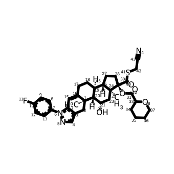 C[C@]12Cc3cnn(-c4ccc(F)cc4)c3C=C1CC[C@@H]1[C@@H]2[C@@H](O)C[C@@]2(C)[C@H]1CC[C@]2(OC(=O)C1CCCCO1)C(=O)SCC#N